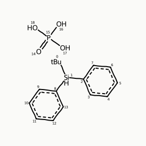 CC(C)(C)[SiH](c1ccccc1)c1ccccc1.O=P(O)(O)O